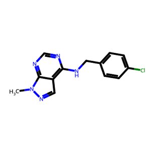 Cn1ncc2c(NCc3ccc(Cl)cc3)ncnc21